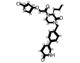 CCC[C@H]1C(=O)N(Cc2ccc(-c3ccc(=O)[nH]c3)cc2)CCN1C(=O)COc1csc(Cl)c1